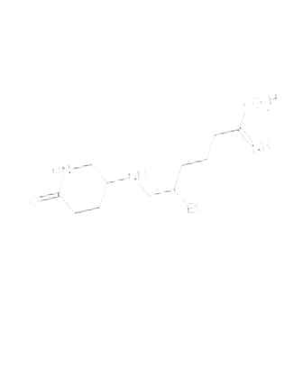 CCC(CCCC(=N)C(=O)O)CNC1CCC(=O)NC1